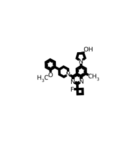 COc1ccccc1C1CCN(c2nc(C3(F)CCC3)nc3c(C)cc(N4CC[C@@H](O)C4)cc23)CC1